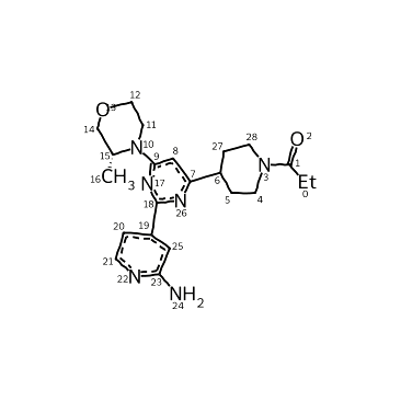 CCC(=O)N1CCC(c2cc(N3CCOC[C@H]3C)nc(-c3ccnc(N)c3)n2)CC1